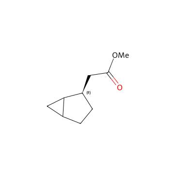 COC(=O)C[C@H]1CCC2CC21